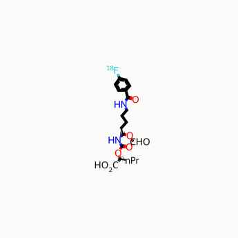 CCC[C@H](OC(=O)N[C@@H](CCCCNC(=O)c1ccc([18F])cc1)OC=O)C(=O)O